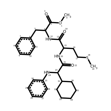 COC(=O)C(Cc1ccccc1)NC(=O)C(CCSC)NC(=O)C(Nc1ccccc1)C1CCCCC1